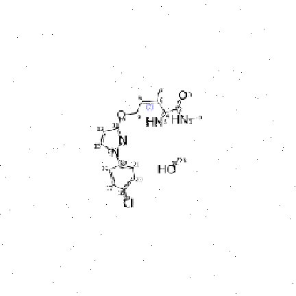 CNC(=O)C(=N)/C(C)=C\COc1ccn(-c2ccc(Cl)cc2)n1.CO